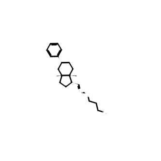 C[C@]12CC[C@H](c3ccccc3)C[C@@]1(O)CC[C@@H]2/C=N/OCCCN